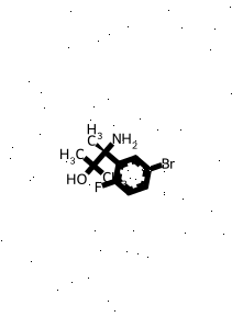 CC(C)(O)[C@](C)(N)c1cc(Br)ccc1F